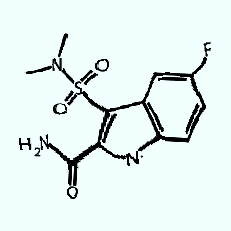 CN(C)S(=O)(=O)C1=C(C(N)=O)[N]c2ccc(F)cc21